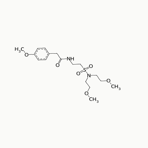 COCCN(CCOC)S(=O)(=O)CCNC(=O)Cc1ccc(OC)cc1